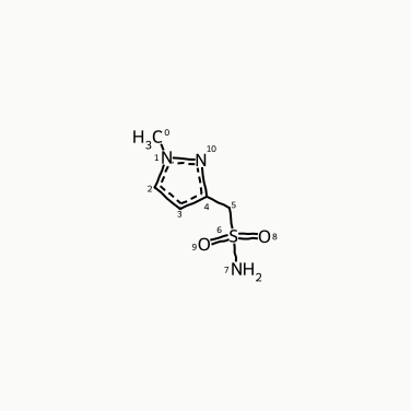 Cn1ccc(CS(N)(=O)=O)n1